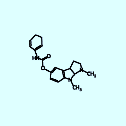 CN1CCC2c3cc(OC(=O)NC4=CCCC=C4)ccc3N(C)C21